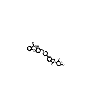 O=C1CCC(N2Cc3cc(C4CCN(Cc5ccc6c(c5)NC(=O)c5ccccc5O6)CC4)ccc3C2=O)C(=O)N1